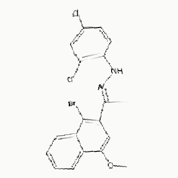 COc1cc(C(C)=NNc2ccc(Cl)cc2Cl)c(Br)c2ccccc12